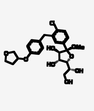 CO[C@@]1(c2ccc(Cl)c(Cc3ccc(OC4CCOC4)cc3)c2)O[C@H]([C@H](O)CO)[C@H](O)[C@H]1O